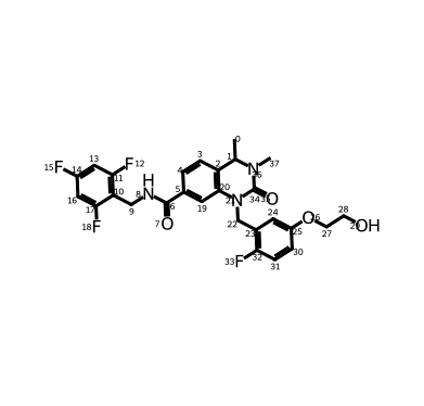 CC1c2ccc(C(=O)NCc3c(F)cc(F)cc3F)cc2N(Cc2cc(OCCO)ccc2F)C(=O)N1C